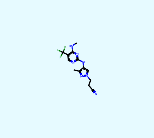 CNc1nc(Nc2cn(CCC#N)nc2C)ncc1C(F)(F)F